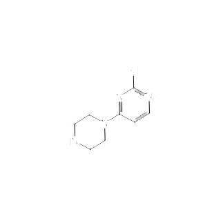 Clc1nccc(N2CCNCC2)n1